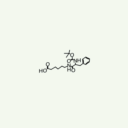 CC(C)(C)OC(=O)NC(Cc1ccccc1)C(=O)NCCCCCC(=O)O